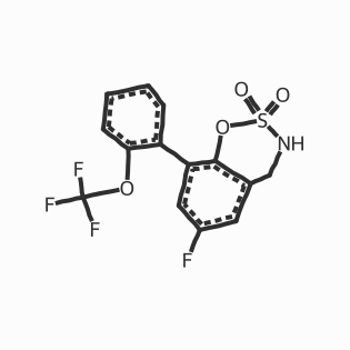 O=S1(=O)NCc2cc(F)cc(-c3ccccc3OC(F)(F)F)c2O1